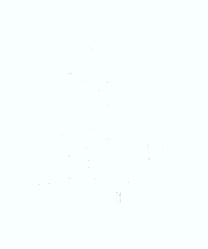 COC[C@@H](O)CO[C@@H]1CNC[C@H](OCc2cc(OC)c3ccccc3c2)C1c1ccc(OCCCOCc2ccccc2OC)cc1